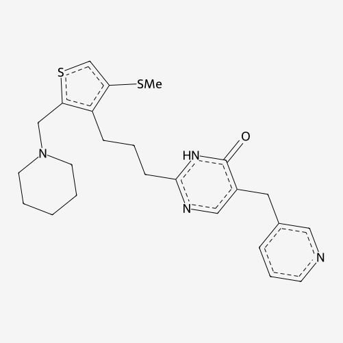 CSc1csc(CN2CCCCC2)c1CCCc1ncc(Cc2cccnc2)c(=O)[nH]1